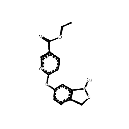 CCOC(=O)c1ccc(Oc2ccc3c(c2)B(O)OC3)nc1